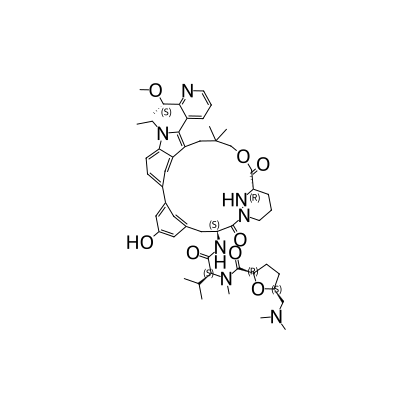 CCn1c(-c2cccnc2[C@H](C)OC)c2c3cc(ccc31)-c1cc(O)cc(c1)C[C@H](NC(=O)[C@H](C(C)C)N(C)C(=O)[C@H]1CC[C@@H](CN(C)C)O1)C(=O)N1CCC[C@](C=O)(COCC(C)(C)C2)N1